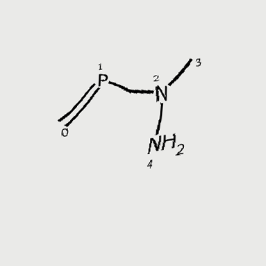 C=PN(C)N